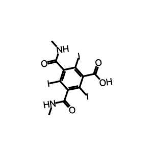 CNC(=O)c1c(I)c(C(=O)O)c(I)c(C(=O)NC)c1I